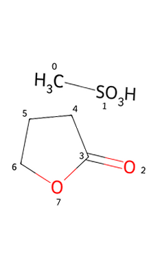 CS(=O)(=O)O.O=C1CCCO1